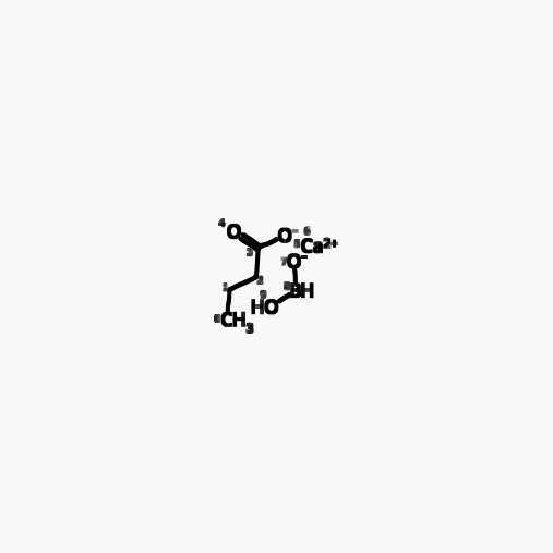 CCCC(=O)[O-].[Ca+2].[O-]BO